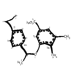 Cc1cc(C(=O)O)cc(OC(C)c2ccc(CC(C)C)cc2)c1C